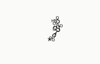 CC(C)(C)OC(=O)N1CC2C(C1)C2c1ccc2c3c(ccnc13)N(C1CCC(=O)NC1=O)C2=O